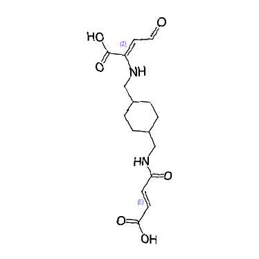 O=C/C=C(\NCC1CCC(CNC(=O)/C=C/C(=O)O)CC1)C(=O)O